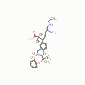 CCN/C=C(\N)CCC(c1ccc(C)c(CN2CC(C)(C)Oc3ccccc3S2(=O)=O)c1)C(C)(C)C(=O)O